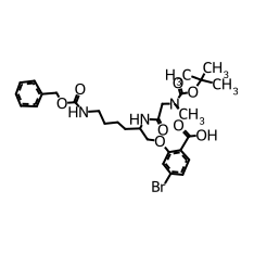 CN(CC(=O)NC(CCCCNC(=O)OCc1ccccc1)COc1cc(Br)ccc1C(=O)O)C(=O)OC(C)(C)C